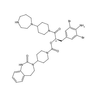 Nc1c(Br)cc(C[C@@H](OC(=O)N2CCC(N3CCc4ccccc4NC3=O)CC2)C(=O)N2CCC(N3CCCNCC3)CC2)cc1Br